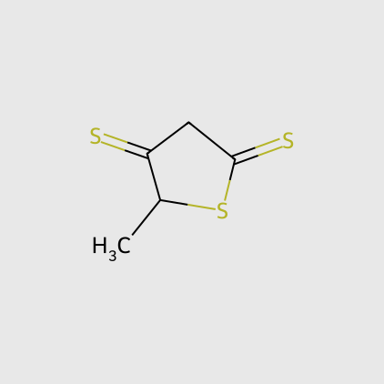 CC1SC(=S)CC1=S